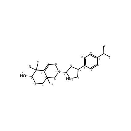 CC(C)c1ccc(C2CNC(N3CC=C4C(C)(CCC(O)C4(C)C)C3)C2)cc1